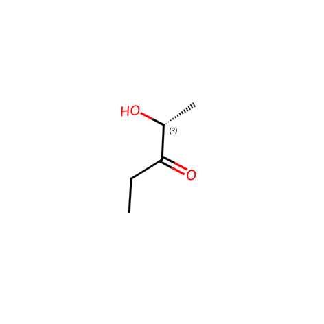 CCC(=O)[C@@H](C)O